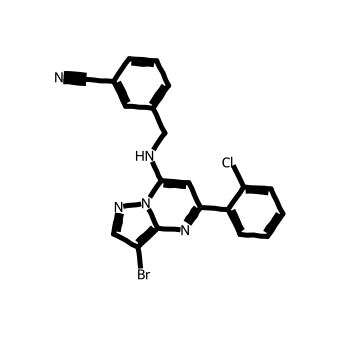 N#Cc1cccc(CNc2cc(-c3ccccc3Cl)nc3c(Br)cnn23)c1